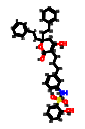 O=C1OC(CCc2ccccc2)(CCc2ccccc2)CC(O)=C1CCCc1cccc(NS(=O)(=O)c2ccccc2O)c1